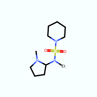 CCN(C1CCCN1C)S(=O)(=O)N1CC[CH]CC1